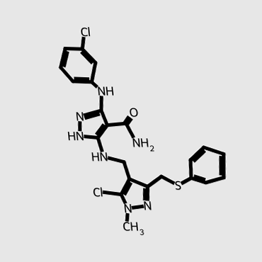 Cn1nc(CSc2ccccc2)c(CNc2[nH]nc(Nc3cccc(Cl)c3)c2C(N)=O)c1Cl